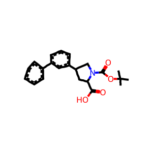 CC(C)(C)OC(=O)N1CC(c2cccc(-c3ccccc3)c2)CC1C(=O)O